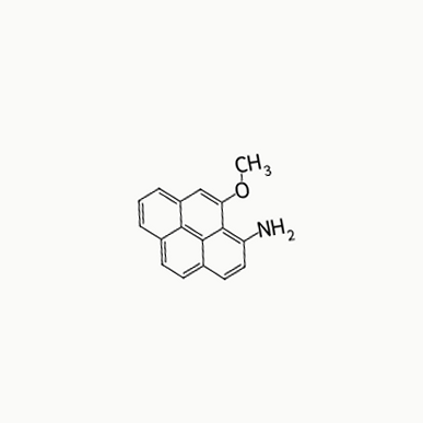 COc1cc2cccc3ccc4ccc(N)c1c4c32